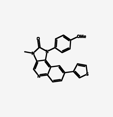 COc1ccc(-n2c(=O)n(C)c3cnc4ccc(-c5ccsc5)cc4c32)cc1